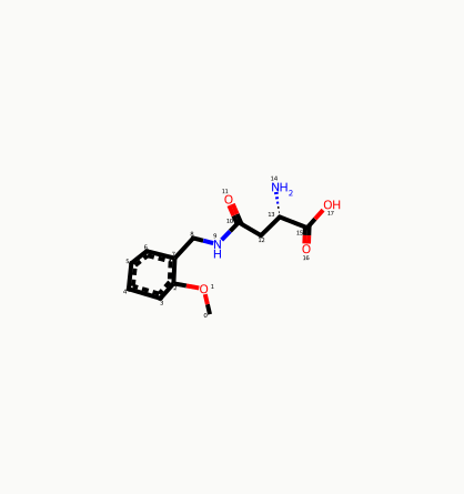 COc1ccccc1CNC(=O)C[C@H](N)C(=O)O